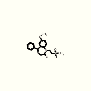 COc1ccc2c(c1)C(c1ccccc1)=NCC(=O)N2CCS(C)(=O)=O